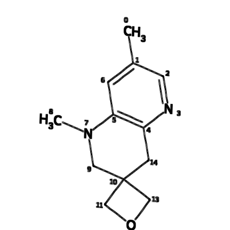 Cc1cnc2c(c1)N(C)CC1(COC1)C2